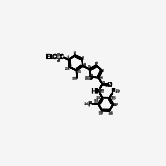 CCOC(=O)c1ccc(-c2ccc(C(=O)Nc3c(F)cccc3F)s2)c(C)c1